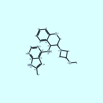 COC1CN(C2COc3ccccc3C2Nc2ncnc3[nH]c(C)cc23)C1